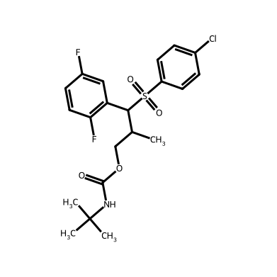 CC(COC(=O)NC(C)(C)C)C(c1cc(F)ccc1F)S(=O)(=O)c1ccc(Cl)cc1